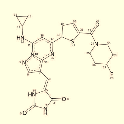 O=C1NC(=O)/C(=C/c2cnn3c(NC4CC4)cc(C4CC=C(C(=O)N5CCC(F)CC5)S4)nc23)N1